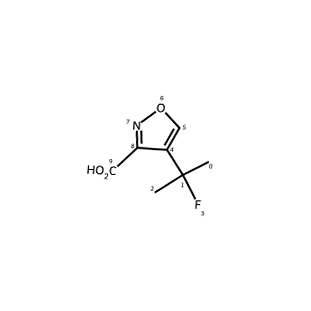 CC(C)(F)c1conc1C(=O)O